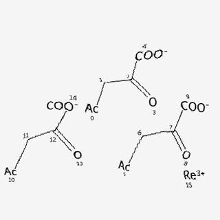 CC(=O)CC(=O)C(=O)[O-].CC(=O)CC(=O)C(=O)[O-].CC(=O)CC(=O)C(=O)[O-].[Re+3]